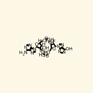 Nc1ncnc2c1ncn2[C@@H]1O[C@@H]2COP(=O)(S)O[C@@H]3C(COP(=O)(S)O[C@@H]1[C@@H]2O)O[C@@H](n1cnc2c(O)ncnc21)[C@@H]3F